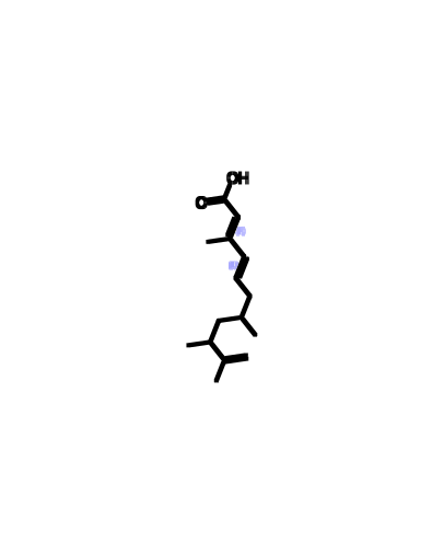 C=C(C)C(C)CC(C)C/C=C/C(C)=C/C(=O)O